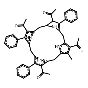 CC(=O)c1c2[nH]c(c1C)Cc1[nH]c(c(-c3ccccc3)c1C(C)=O)Cc1[nH]c(c(C(C)=O)c1-c1ccccc1)CC1NC(=C(c3ccccc3)C1C(C)=O)C2